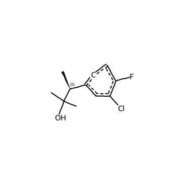 C[C@@H](c1ccc(F)c(Cl)c1)C(C)(C)O